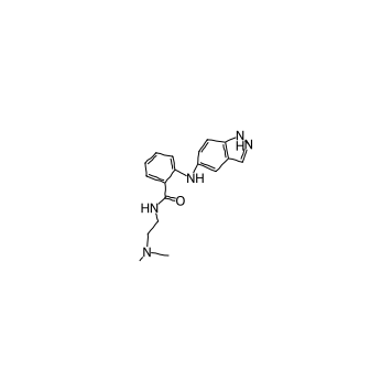 CN(C)CCNC(=O)c1ccccc1Nc1ccc2[nH]ncc2c1